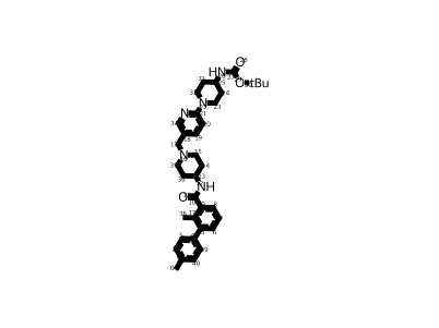 Cc1ccc(-c2cccc(C(=O)NC3CCN(Cc4ccc(N5CCC(NC(=O)OC(C)(C)C)CC5)nc4)CC3)c2C)cc1